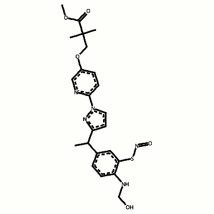 COC(=O)C(C)(C)COc1ccc(-n2ccc(C(C)c3ccc(NCO)c(SN=O)c3)n2)nc1